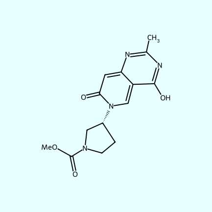 COC(=O)N1CC[C@@H](n2cc3c(O)nc(C)nc3cc2=O)C1